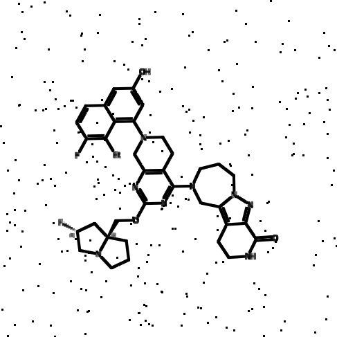 CCc1c(F)ccc2cc(O)cc(N3CCc4c(nc(OC[C@@]56CCCN5C[C@H](F)C6)nc4N4CCCn5nc6c(c5C4)CCNC6=O)C3)c12